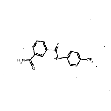 NC(=O)c1cccc(C(=S)Nc2ccc(C(F)(F)F)cc2)c1